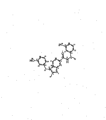 Cc1nc2cc(C(=O)NC(C)c3cccc(C(C)C)c3)ccc2n1Cc1cccc(O)c1